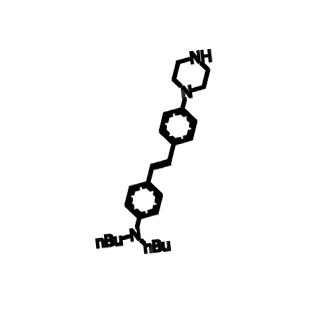 CCCCN(CCCC)c1ccc(C=Cc2ccc(N3CCNCC3)cc2)cc1